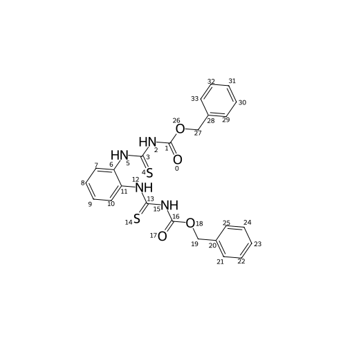 O=C(NC(=S)Nc1ccccc1NC(=S)NC(=O)OCc1ccccc1)OCc1ccccc1